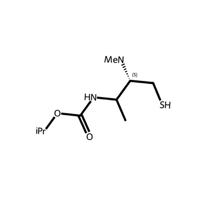 CN[C@H](CS)C(C)NC(=O)OC(C)C